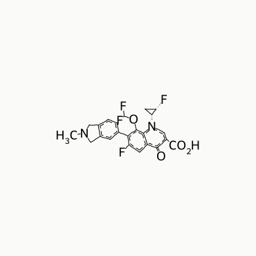 CN1Cc2ccc(-c3c(F)cc4c(=O)c(C(=O)O)cn([C@@H]5C[C@@H]5F)c4c3OC(F)F)cc2C1